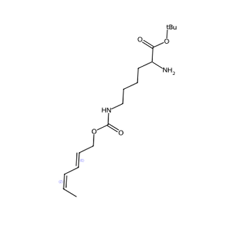 C/C=C\C=C\COC(=O)NCCCCC(N)C(=O)OC(C)(C)C